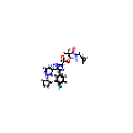 CC1(C(=O)NCC2CC2)COC(c2nc(-c3ccc(F)cc3)c(-c3ccnc(N4CCCC4)n3)[nH]2)OC1